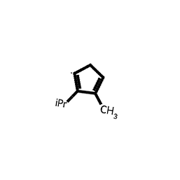 CC1=CC[C]=C1C(C)C